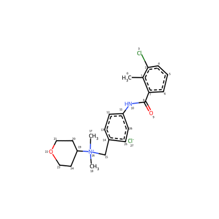 Cc1c(Cl)cccc1C(=O)Nc1ccc(C[N+](C)(C)C2CCOCC2)cc1.[Cl-]